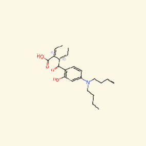 C/C=C(C(=O)O)\C(=C/C)C(=O)c1ccc(N(CCCC)CCCC)cc1O